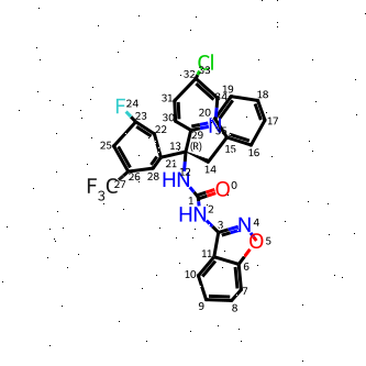 O=C(Nc1noc2ccccc12)N[C@](Cc1ccccc1)(c1cc(F)cc(C(F)(F)F)c1)c1ccc(Cl)cn1